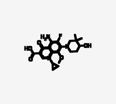 COc1c(N2CCC(O)C(C)(C)C2)c(F)c(N)c2c(=O)c(C(=O)O)cn(C3CC3)c12